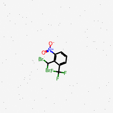 O=[N+]([O-])c1cccc(C(F)(F)F)c1C(Br)Br